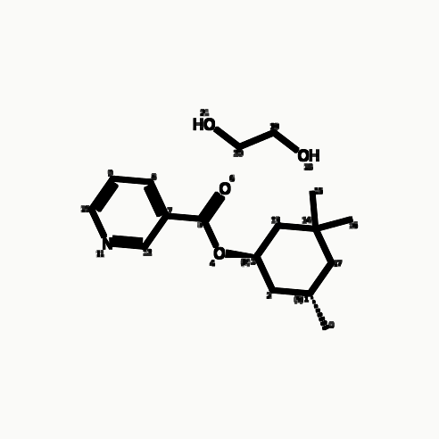 C[C@@H]1C[C@@H](OC(=O)c2cccnc2)CC(C)(C)C1.OCCO